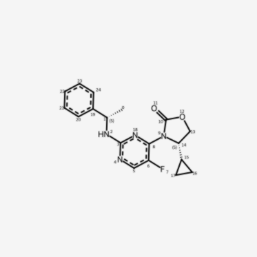 C[C@H](Nc1ncc(F)c(N2C(=O)OC[C@@H]2C2CC2)n1)c1ccccc1